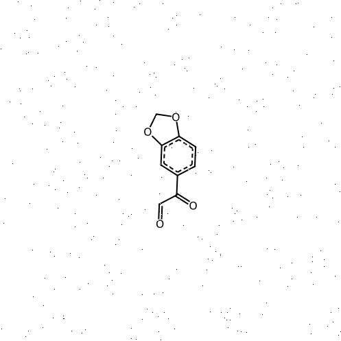 O=CC(=O)c1ccc2c(c1)OCO2